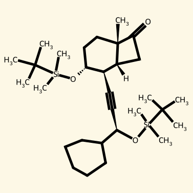 CC(C)(C)[Si](C)(C)O[C@H](C#C[C@@H]1[C@H]2CC(=O)[C@@]2(C)CC[C@H]1O[Si](C)(C)C(C)(C)C)C1CCCCC1